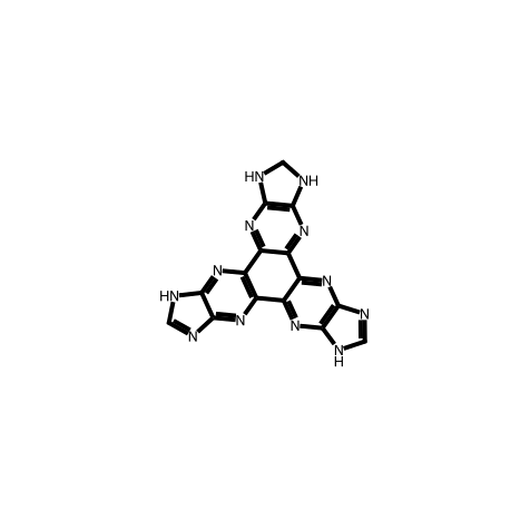 c1nc2nc3c(nc2[nH]1)c1nc2c(nc1c1nc4nc[nH]c4nc13)NCN2